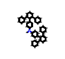 CN(c1ccc(-c2c(-c3ccccc3)cccc2-c2ccccc2)cc1)c1ccc(-c2c(-c3ccccc3)cccc2-c2ccccc2)cc1